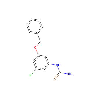 NC(=S)Nc1cc(Br)cc(OCc2ccccc2)c1